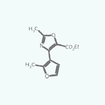 CCOC(=O)c1oc(C)nc1-c1ccoc1C